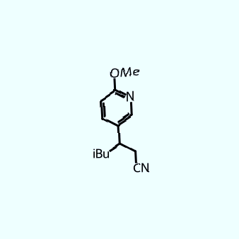 CCC(C)C(CC#N)c1ccc(OC)nc1